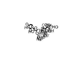 O=C[C@H](O)[C@@H](O)[C@H](O)[C@H](OP(=O)(OC[C@H]1O[C@@H](n2ccc(=O)[nH]c2=O)[C@H](O)[C@@H]1O)OP(=O)([O-])[O-])C(=O)[O-].[Na+].[Na+].[Na+]